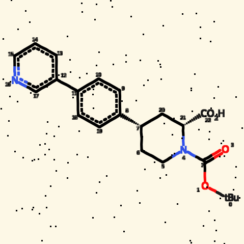 CC(C)(C)OC(=O)N1CC[C@H](c2ccc(-c3cccnc3)cc2)C[C@@H]1C(=O)O